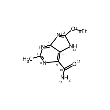 CCOc1nc2nc(C)nc(C(N)=O)c2[nH]1